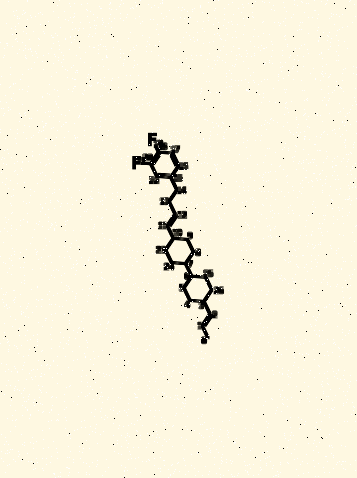 C/C=C/C1CCC(C2CCC(C=CCCc3ccc(F)c(F)c3)CC2)CC1